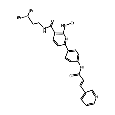 CCNc1nc(-c2ccc(NC(=O)C=Cc3cccnc3)cc2)ccc1C(=O)NCCN(C(C)C)C(C)C